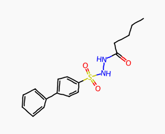 CCCCC(=O)NNS(=O)(=O)c1ccc(-c2ccccc2)cc1